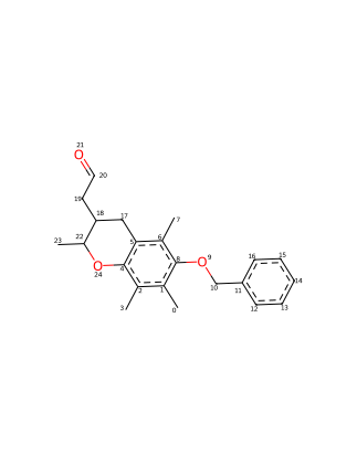 Cc1c(C)c2c(c(C)c1OCc1ccccc1)CC(CC=O)C(C)O2